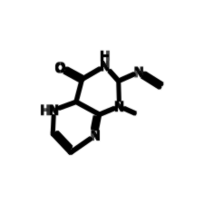 C=NC1NC(=O)C2NC=CN=C2N1C